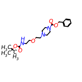 CC(C)(C)OC(=O)NCCOCCN1CCN(C(=O)OCc2ccccc2)CC1